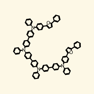 c1ccc(-c2ccc(-c3ccc(N(c4ccccc4)c4ccc(-c5ccc(N(c6ccccc6)c6ccc(-c7ccc(N(c8ccccc8)c8ccc(-c9ccc(N(c%10ccccc%10)c%10ccc(-c%11ccc(-c%12ccccc%12)o%11)cc%10)cc9)cc8)cc7)cc6)cc5)cc4)cc3)o2)cc1